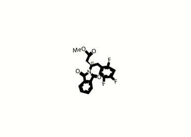 COC(=O)C[C@@H](Cc1cc(F)c(F)cc1F)N1C(=O)c2ccccc2C1=O